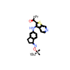 CCCC(=O)c1sc2cnccc2c1Nc1ccc2c(c1)CC/C2=N\O[Si](C)(C)C(C)(C)C